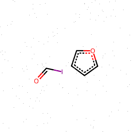 O=CI.c1ccoc1